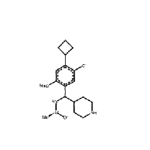 COc1cc(C2CCC2)c(Cl)cc1C(N[S@@+]([O-])C(C)(C)C)C1CCNCC1